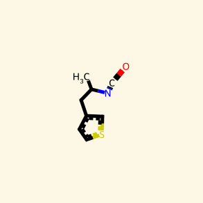 CC(Cc1ccsc1)N=C=O